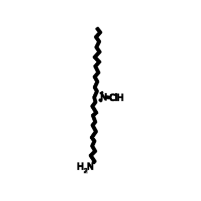 CCCCCCCCCCCCCCCCCCCCCCCCCCCCN.CN(C)C.Cl